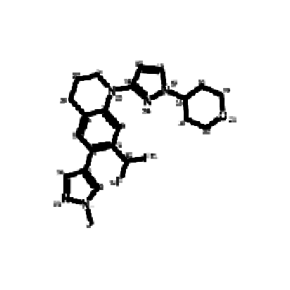 Cn1cc(-c2cc3c(cc2C(F)F)N(c2ccn(C4CCOCC4)n2)CCC3)cn1